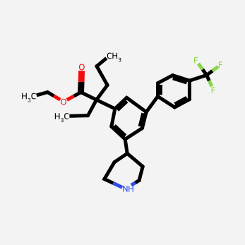 CCCC(CC)(C(=O)OCC)c1cc(-c2ccc(C(F)(F)F)cc2)cc(C2CCNCC2)c1